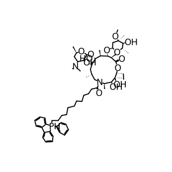 CC[C@H]1OC(=O)[C@H](C)[C@@H](O[C@H]2C[C@@](C)(OC)[C@@H](O)[C@H](C)O2)[C@H](C)[C@@H](O[C@@H]2O[C@H](C)C[C@H](N(C)C)[C@H]2O)[C@](C)(O)C[C@@H](C)CN(C(=O)CCCCCCCCCCC[PH]2(c3ccccc3)c3ccccc3-c3ccccc32)[C@H](C)[C@@H](O)[C@]1(C)O